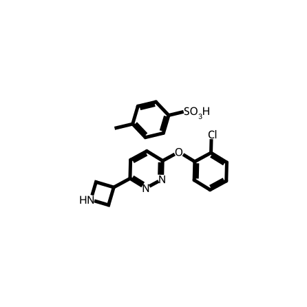 Cc1ccc(S(=O)(=O)O)cc1.Clc1ccccc1Oc1ccc(C2CNC2)nn1